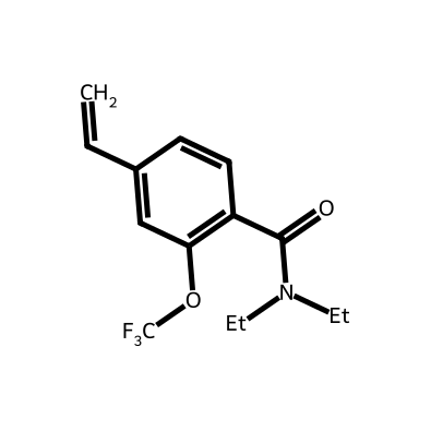 C=Cc1ccc(C(=O)N(CC)CC)c(OC(F)(F)F)c1